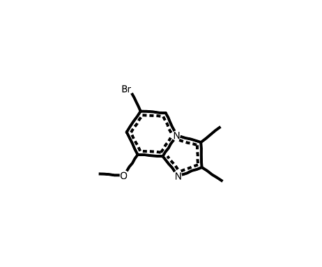 COc1cc(Br)cn2c(C)c(C)nc12